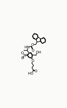 CC(NC(=O)OCC1c2ccccc2-c2ccccc21)c1cc(CO)c(OCCCC(=O)O)cc1[N+](=O)[O-]